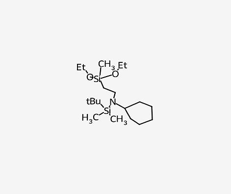 CCO[Si](C)(CCN(C1CCCCC1)[Si](C)(C)C(C)(C)C)OCC